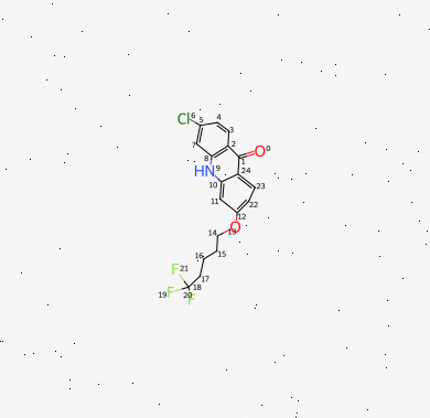 O=c1c2ccc(Cl)cc2[nH]c2cc(OCCCCC(F)(F)F)ccc12